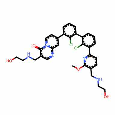 COc1nc(-c2cccc(-c3cccc(-c4ccn5c(=O)c(CNCCO)cnc5c4)c3Cl)c2Cl)ccc1CNCCO